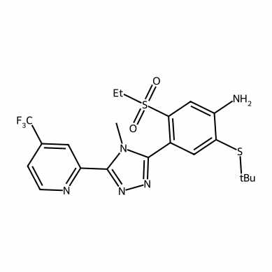 CCS(=O)(=O)c1cc(N)c(SC(C)(C)C)cc1-c1nnc(-c2cc(C(F)(F)F)ccn2)n1C